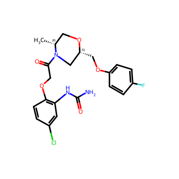 C[C@@H]1CO[C@H](COc2ccc(F)cc2)CN1C(=O)COc1ccc(Cl)cc1NC(N)=O